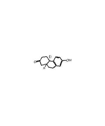 CC[C@@]12CCC(=O)C[C@H]1CCc1cc(O)ccc12